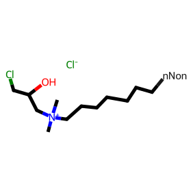 CCCCCCCCCCCCCCCC[N+](C)(C)CC(O)CCl.[Cl-]